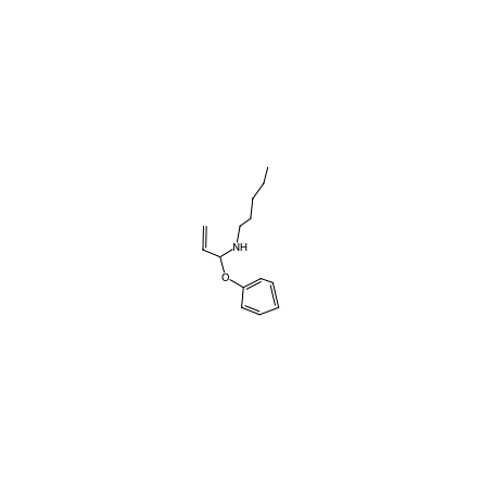 C=CC(NCCCCC)Oc1ccccc1